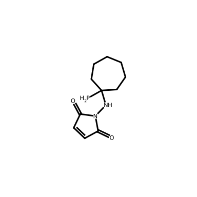 O=C1C=CC(=O)N1NC1(P)CCCCCC1